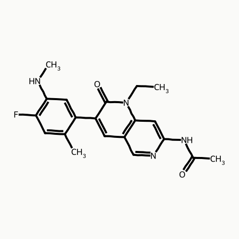 CCn1c(=O)c(-c2cc(NC)c(F)cc2C)cc2cnc(NC(C)=O)cc21